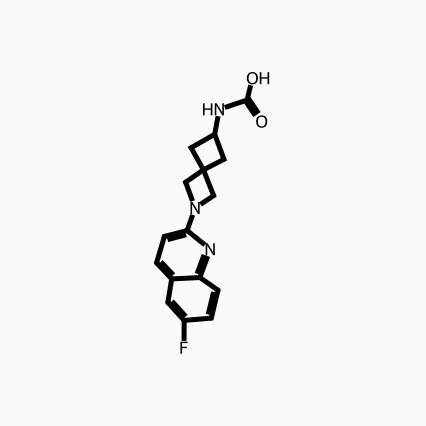 O=C(O)NC1CC2(C1)CN(c1ccc3cc(F)ccc3n1)C2